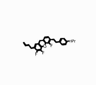 C=CCCc1cc2c(c(F)c1F)Oc1c(ccc(CCc3ccc(CCC)cc3)c1F)C2